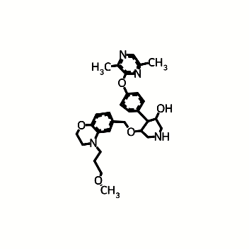 COCCCN1CCOc2ccc(COC3CNCC(O)C3c3ccc(Oc4nc(C)cnc4C)cc3)cc21